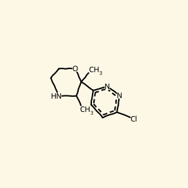 CC1NCCOC1(C)c1ccc(Cl)nn1